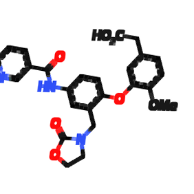 COc1ccc(CC(=O)O)cc1Oc1ccc(NC(=O)c2cccnc2)cc1CN1CCOC1=O